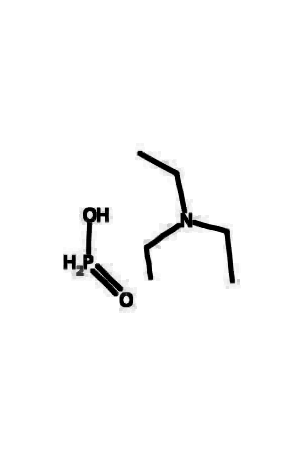 CCN(CC)CC.O=[PH2]O